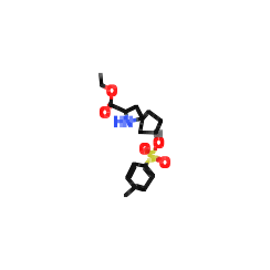 CCOC(=O)C1CC2(CC[C@H](OS(=O)(=O)c3ccc(C)cc3)C2)N1